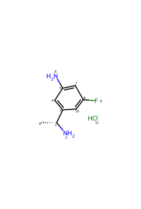 C[C@@H](N)c1cc(N)cc(F)c1.Cl